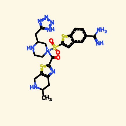 CC1Cc2nc(C(=O)[N+]3(S(=O)(=O)c4cc5cc(C(=N)N)ccc5s4)CCNC(Cc4nnn[nH]4)C3)sc2CN1